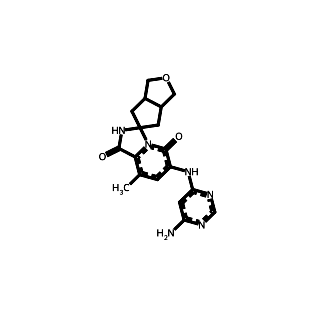 Cc1cc(Nc2cc(N)ncn2)c(=O)n2c1C(=O)NC21CC2COCC2C1